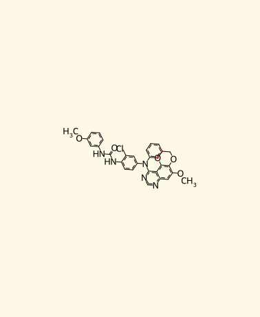 COc1cccc(NC(=O)Nc2ccc(N(c3ccccc3)c3ncnc4cc(OC)c5c(c34)OCCO5)cc2Cl)c1